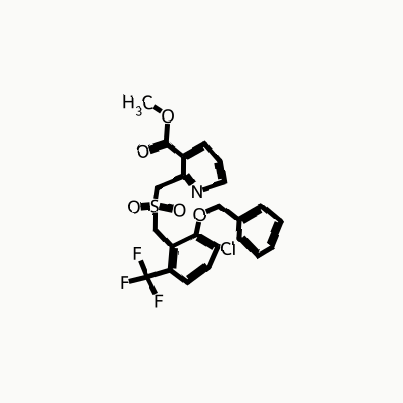 COC(=O)c1cccnc1CS(=O)(=O)Cc1c(C(F)(F)F)ccc(Cl)c1OCc1ccccc1